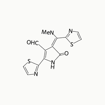 CN/C(=C1/C(=O)NC(c2nccs2)=C1C=O)c1nccs1